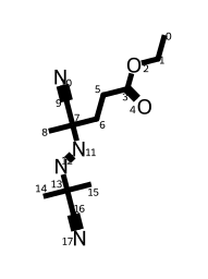 CCOC(=O)CCC(C)(C#N)N=NC(C)(C)C#N